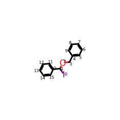 IC(OCc1ccccc1)c1ccccc1